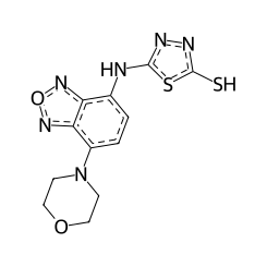 Sc1nnc(Nc2ccc(N3CCOCC3)c3nonc23)s1